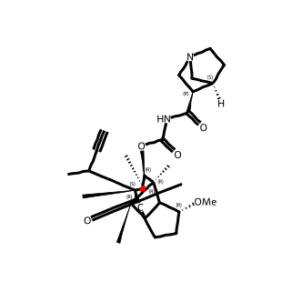 C#CC(C)[C@]1(C)C[C@@H](OC(=O)NC(=O)[C@H]2CN3CC[C@@H]2C3)[C@@]2(C)C3[C@H](OC)CCC3(CC[C@H]2C)[C@@H](C)C1=O